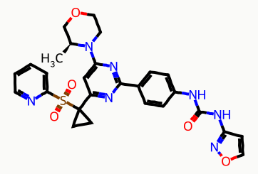 C[C@H]1COCCN1c1cc(C2(S(=O)(=O)c3ccccn3)CC2)nc(-c2ccc(NC(=O)Nc3ccon3)cc2)n1